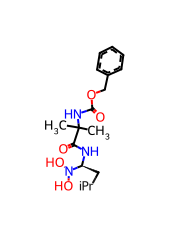 CC(C)C[C@H](NC(=O)C(C)(C)NC(=O)OCc1ccccc1)N(O)O